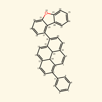 C1=CC2=C(c3ccccc3)C=CC3=CC=C4C(c5cccc6oc7ccccc7c56)=CC=C1C4C32